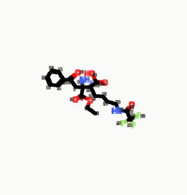 CCOC(=O)C(N)(CC(=O)c1ccccc1)C(CCCCNC(=O)C(F)(F)F)C(=O)O